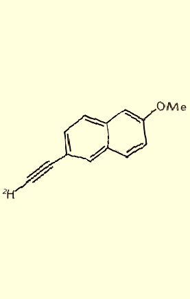 [2H]C#Cc1ccc2cc(OC)ccc2c1